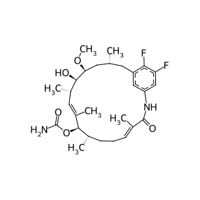 CO[C@H]1C[C@H](C)Cc2cc(cc(F)c2F)NC(=O)/C(C)=C/CC[C@H](C)[C@@H](OC(N)=O)/C(C)=C/[C@H](C)[C@H]1O